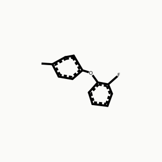 Cc1ccc(Oc2ccccc2F)cc1